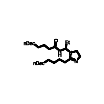 CCCCCCCCCCCCCCC1=NCCN1C(CC)NC(=O)CCCCCCCCCCCCC